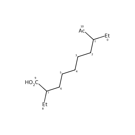 CCC(CCCCCC(CC)C(=O)O)C(C)=O